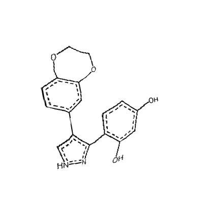 Oc1ccc(-c2n[nH]cc2-c2ccc3c(c2)OCCO3)c(O)c1